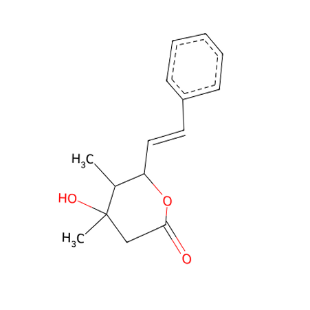 CC1C(C=Cc2ccccc2)OC(=O)CC1(C)O